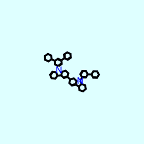 C1=CC(C2=CC(C3CCCCC3)CC(N3C4C=CCCC4C4C=C(C5CC=C6C7CCCCC7N(C7=CC(C8C=CCCC8)CC=C7)C6C5)CCC43)=C2)=CCC1